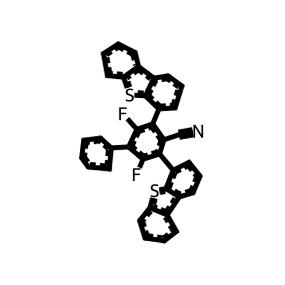 N#Cc1c(-c2cccc3c2sc2ccccc23)c(F)c(-c2ccccc2)c(F)c1-c1cccc2c1sc1ccccc12